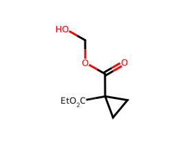 CCOC(=O)C1(C(=O)OCO)CC1